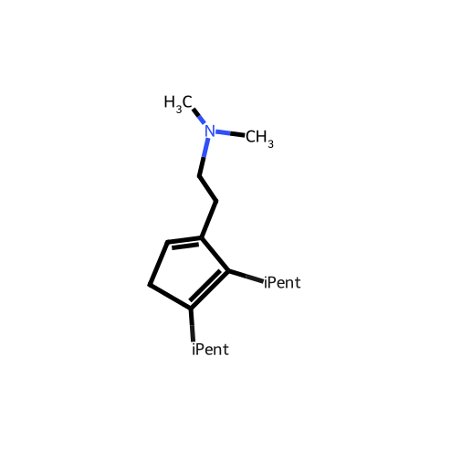 CCCC(C)C1=C(C(C)CCC)C(CCN(C)C)=CC1